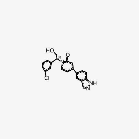 O=c1cc(-c2ccc3[nH]ncc3c2)ccn1[C@H](CO)c1cccc(Cl)c1